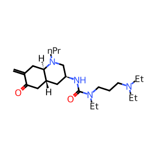 C=C1C[C@@H]2[C@@H](CC1=O)C[C@H](NC(=O)N(CC)CCCN(CC)CC)CN2CCC